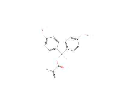 C=C(C)C(=O)OC(C)(c1ccc(OC(C)(C)C)cc1)c1ccc(OC(C)(C)C)cc1